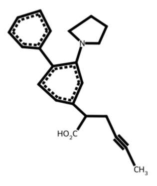 CC#CCC(C(=O)O)c1ccc(-c2ccccc2)c(N2CCCC2)c1